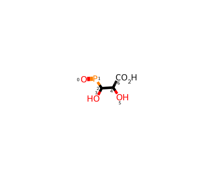 O=PC(O)C(O)C(=O)O